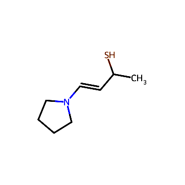 CC(S)C=CN1CCCC1